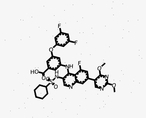 COc1ncc(-c2cc(F)c3c(Nc4cc(Oc5cc(F)cc(F)c5)cc(C(=O)O)c4)c(NS(=O)(=O)C4CCCCC4)cnc3c2)c(OC)n1